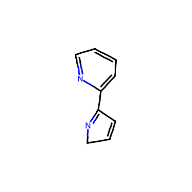 C1=CC(c2ccccn2)=NC1